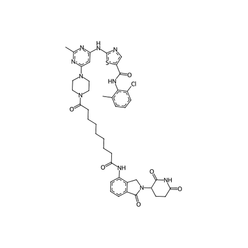 Cc1nc(Nc2ncc(C(=O)Nc3c(C)cccc3Cl)s2)cc(N2CCN(C(=O)CCCCCCCC(=O)Nc3cccc4c3CN(C3CCC(=O)NC3=O)C4=O)CC2)n1